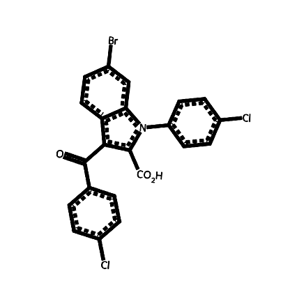 O=C(c1ccc(Cl)cc1)c1c(C(=O)O)n(-c2ccc(Cl)cc2)c2cc(Br)ccc12